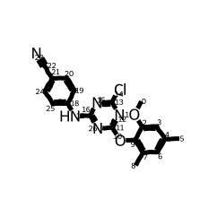 COc1cc(C)cc(C)c1Oc1nc(Cl)nc(Nc2ccc(C#N)cc2)n1